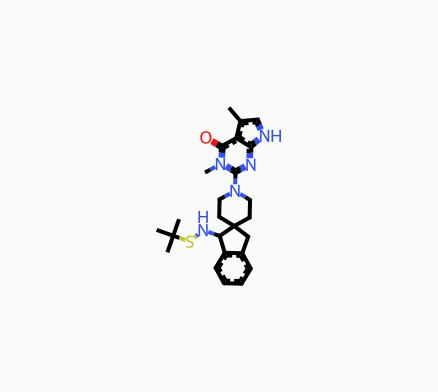 Cc1c[nH]c2nc(N3CCC4(CC3)Cc3ccccc3C4NSC(C)(C)C)n(C)c(=O)c12